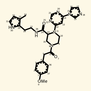 COc1ccc(CC(=O)N2CCN(c3cc(-n4ccnc4)ncn3)C(C(=O)NCCc3[nH]ccc3C)C2)cc1